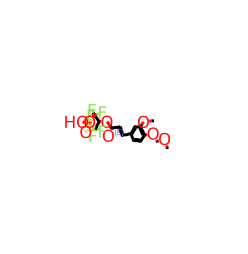 COCOc1ccc(/C=C/C(=O)OC(C(F)(F)F)C(F)(F)S(=O)(=O)O)cc1OC